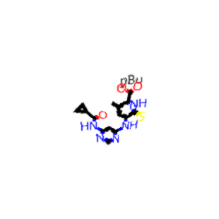 CCCCOC(=O)c1[nH]c(=S)c(Nc2cc(NC(=O)C3CC3)ncn2)cc1C